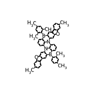 Cc1ccc(B2c3cc4c(cc3N3c5cccc6c5N(c5cc7oc8cc(C)ccc8c7cc5B6c5c(C)cc(C)cc5C)c5cccc2c53)oc2cc(C)ccc24)c(C)c1